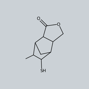 CC1C(S)C2CC1C1C(=O)OCC21